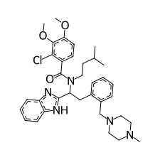 COc1ccc(C(=O)N(CCC(C)C)C(Cc2ccccc2CN2CCN(C)CC2)c2nc3ccccc3[nH]2)c(Cl)c1OC